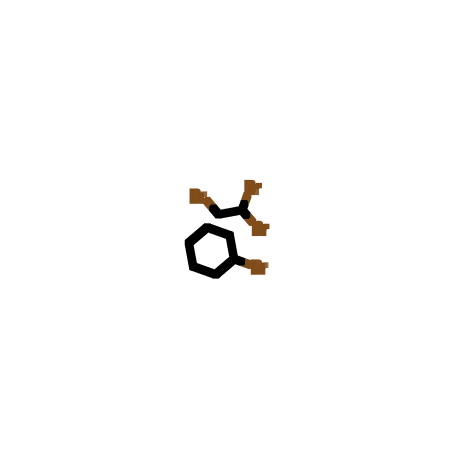 BrC1CCCCC1.BrCC(Br)Br